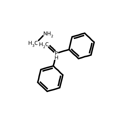 C=[PH](c1ccccc1)c1ccccc1.CN